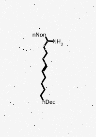 CCCCCCCCCCCCCCC=CCCCC(N)CCCCCCCCC